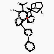 CC(=O)c1c(C2CC3CC[C@H](C2)N3C(=O)c2nnc[nH]2)nc2c(-c3cnn(-c4ccccc4)c3)cnn2c1N